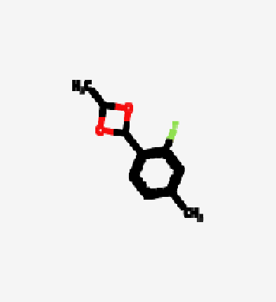 Cc1ccc(C2OC(C)O2)c(F)c1